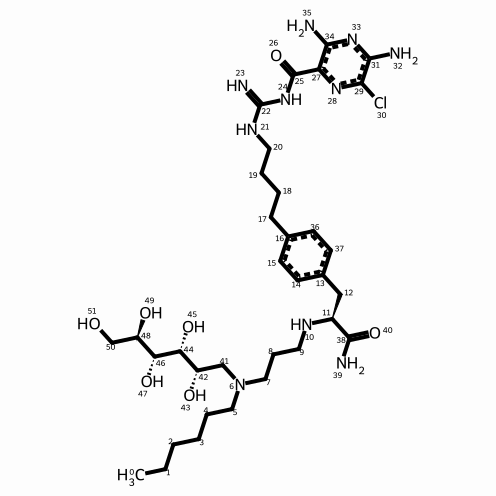 CCCCCCN(CCCN[C@@H](Cc1ccc(CCCCNC(=N)NC(=O)c2nc(Cl)c(N)nc2N)cc1)C(N)=O)C[C@H](O)[C@@H](O)[C@H](O)[C@H](O)CO